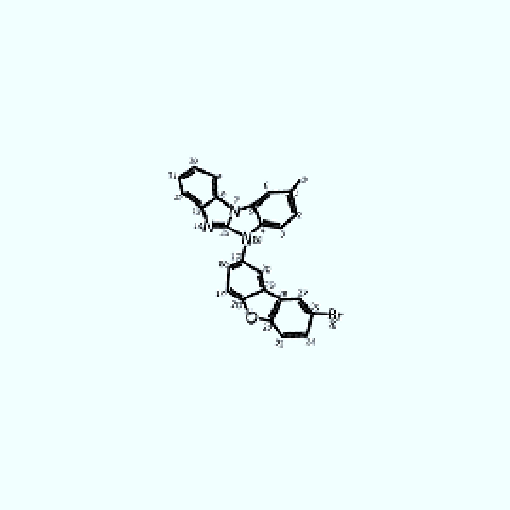 Cc1ccc2c(c1)n1c3ccccc3nc1n2-c1ccc2oc3ccc(Br)cc3c2c1